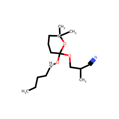 CCCC[SiH2]OC1(OCC(C)C#N)CCC[Si](C)(C)O1